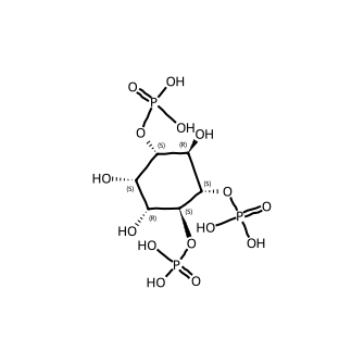 O=P(O)(O)O[C@@H]1[C@@H](O)[C@H](OP(=O)(O)O)[C@@H](OP(=O)(O)O)[C@H](O)[C@@H]1O